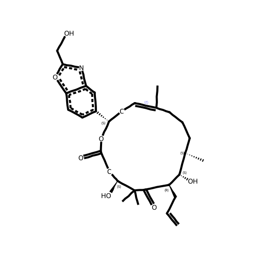 C=CC[C@H]1C(=O)C(C)(C)[C@@H](O)CC(=O)O[C@H](c2ccc3oc(CO)nc3c2)C/C=C(/C)CCC[C@H](C)[C@@H]1O